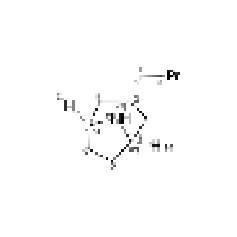 CC(C)C[C@@H]1C[C@H]2CC[C@@H](C1)N2